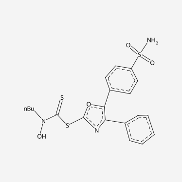 CCCCN(O)C(=S)Sc1nc(-c2ccccc2)c(-c2ccc(S(N)(=O)=O)cc2)o1